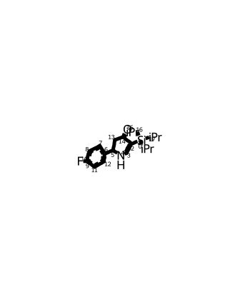 CC(C)[Si](C1=CNC(c2ccc(F)cc2)CC1=O)(C(C)C)C(C)C